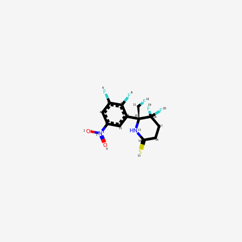 O=[N+]([O-])c1cc(F)c(F)c([C@@]2(CF)NC(=S)CCC2(F)F)c1